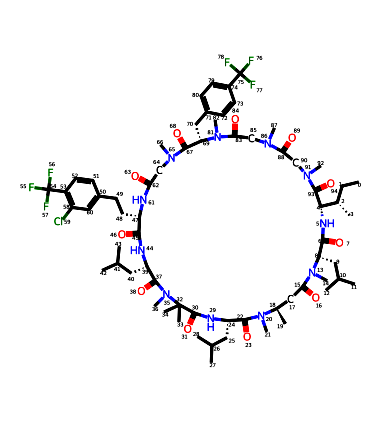 CC[C@H](C)[C@@H]1NC(=O)[C@H](CC(C)C)N(C)C(=O)C[C@@H](C)N(C)C(=O)[C@H](CC(C)C)NC(=O)C(C)(C)N(C)C(=O)[C@H](CC(C)C)NC(=O)[C@H](CCc2ccc(C(F)(F)F)c(Cl)c2)NC(=O)CN(C)C(=O)[C@H](Cc2ccc(C(F)(F)F)cc2)N(C)C(=O)CN(C)C(=O)CN(C)C1=O